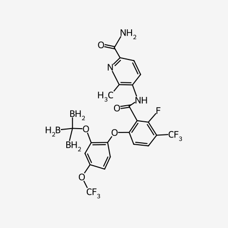 BC(B)(B)Oc1cc(OC(F)(F)F)ccc1Oc1ccc(C(F)(F)F)c(F)c1C(=O)Nc1ccc(C(N)=O)nc1C